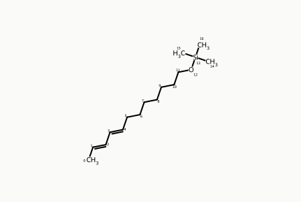 CC=CC=CCCCCCCCO[Si](C)(C)C